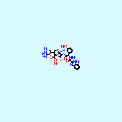 CC(Sc1nnn[nH]1)C1=C(C(=O)O)N2C(=O)C(NC(=O)C(NC(=O)c3nc4ccccc4[nH]3)c3cccc(O)c3)[C@@H]2SC1